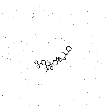 CC/C(=C\c1ccccc1)C1CC1NCC1CCC(N(Cc2ccc(C(=O)OC)cc2)C(=O)OC(C)(C)C)CC1